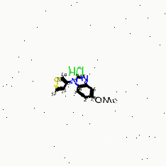 COc1ccc2c(c1)ncn2-c1ccsc1.Cl